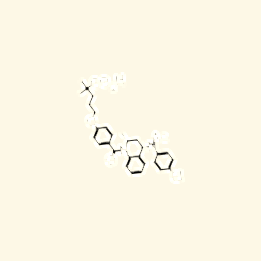 CC(=O)N(c1ccc(Cl)cc1)[C@@H]1C[C@H](C)N(C(=O)c2ccc(OCCCC(C)(C)C(=O)O)cc2)c2ccccc21